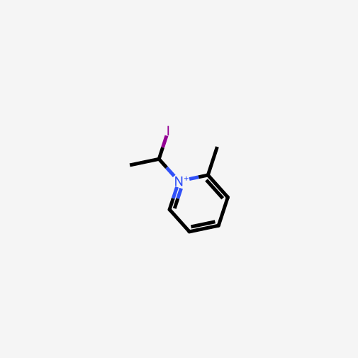 Cc1cccc[n+]1C(C)I